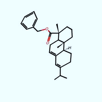 CC(C)C1=CC2=CCC3[C@](C)(C(=O)OCc4ccccc4)CCC[C@]3(C)[C@H]2CC1